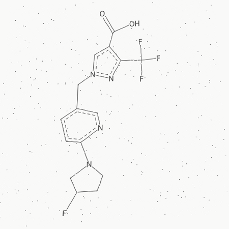 O=C(O)c1cn(Cc2ccc(N3CCC(F)C3)nc2)nc1C(F)(F)F